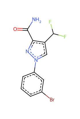 NC(=O)c1nn(-c2cccc(Br)c2)cc1C(F)F